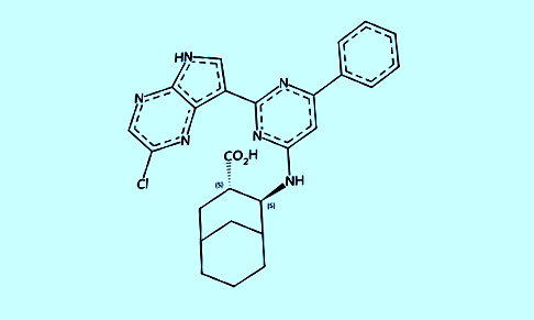 O=C(O)[C@H]1CC2CCCC(C2)[C@@H]1Nc1cc(-c2ccccc2)nc(-c2c[nH]c3ncc(Cl)nc23)n1